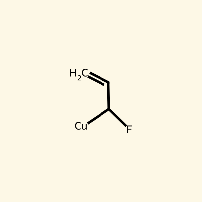 C=C[CH](F)[Cu]